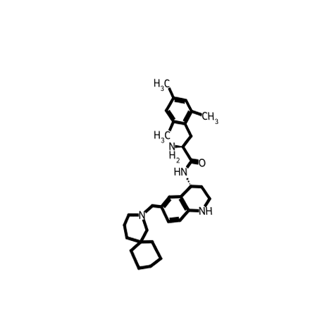 Cc1cc(C)c(C[C@H](N)C(=O)N[C@@H]2CCNc3ccc(CN4CCCC5(CCCCC5)C4)cc32)c(C)c1